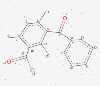 Cc1cc(C)c(C(=O)c2ccccc2)c(C)c1C(=O)Cl